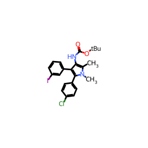 Cc1c(NC(=O)OC(C)(C)C)c(-c2cccc(I)c2)c(-c2ccc(Cl)cc2)n1C